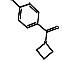 COc1[c]cc(C(=O)N2CCC2)cc1